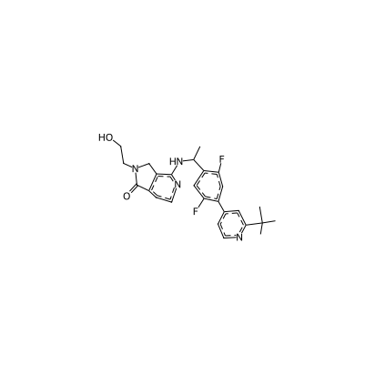 CC(Nc1nccc2c1CN(CCO)C2=O)c1cc(F)c(-c2ccnc(C(C)(C)C)c2)cc1F